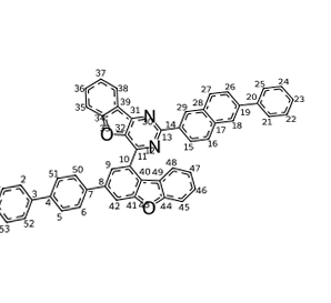 c1ccc(-c2ccc(-c3cc(-c4nc(-c5ccc6cc(-c7ccccc7)ccc6c5)nc5c4oc4ccccc45)c4c(c3)oc3ccccc34)cc2)cc1